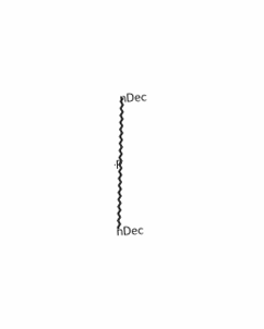 CCCCCCCCCCCCCCCCCCCCCCCCCCCC[P]CCCCCCCCCCCCCCCCCCCCCCCCCCCC